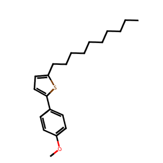 CCCCCCCCCCc1ccc(-c2ccc(OC)cc2)s1